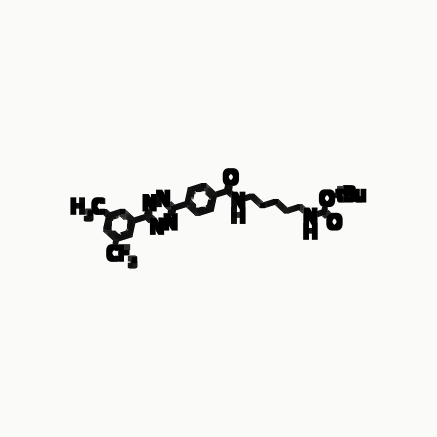 Cc1cc(-c2nnc(-c3ccc(C(=O)NCCCCCNC(=O)OC(C)(C)C)cc3)nn2)cc(C(F)(F)F)c1